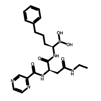 CCNC(=O)C[C@@H](NC(=O)c1cnccn1)C(=O)N[C@@H](CCCc1ccccc1)B(O)O